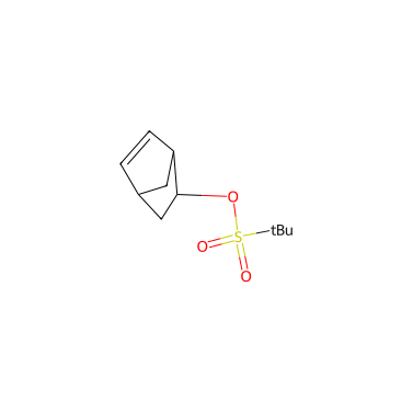 CC(C)(C)S(=O)(=O)OC1CC2C=CC1C2